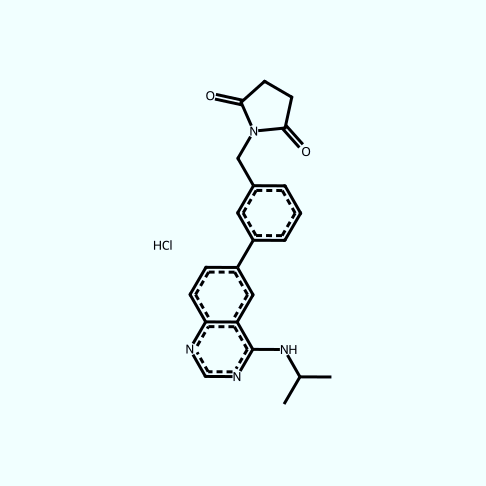 CC(C)Nc1ncnc2ccc(-c3cccc(CN4C(=O)CCC4=O)c3)cc12.Cl